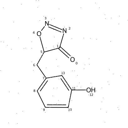 O=C1N=NOC1Cc1cccc(O)c1